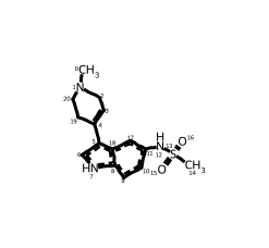 CN1CC=C(c2c[nH]c3ccc(NS(C)(=O)=O)cc23)CC1